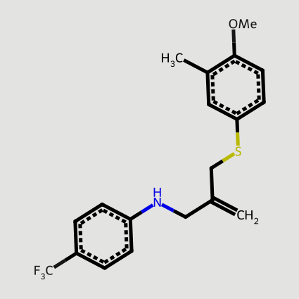 C=C(CNc1ccc(C(F)(F)F)cc1)CSc1ccc(OC)c(C)c1